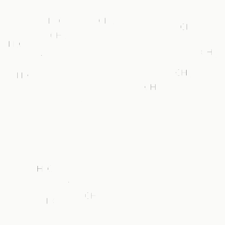 CC1=C(c2c3c(cc(C(C)(C)C)c2=C(C)C)=c2cc(C(C)(C)C)ccc2=[C]3)CC=C1C(C)(C)C